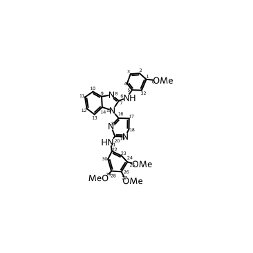 COc1cccc(Nc2nc3ccccc3n2-c2ccnc(Nc3cc(OC)c(OC)c(OC)c3)n2)c1